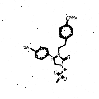 COc1ccc(CCN2C(=O)N(NS(C)(=O)=O)C[C@H]2c2ccc(C(C)(C)C)cc2)cc1